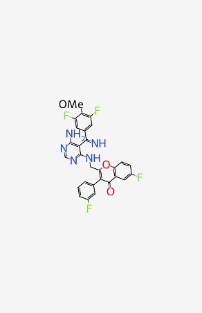 COc1c(F)cc(C(=N)c2c(N)ncnc2NCc2oc3ccc(F)cc3c(=O)c2-c2cccc(F)c2)cc1F